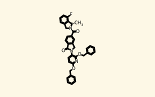 C[C@H]1c2c(F)cccc2CN1C(=O)c1ccc2c(c1)CN(c1ccc(OCc3ccccc3)nc1OCc1ccccc1)C2=O